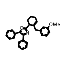 COc1cccc(CC2=CCCCC2c2nc(-c3ccccc3)c(-c3ccccc3)o2)c1